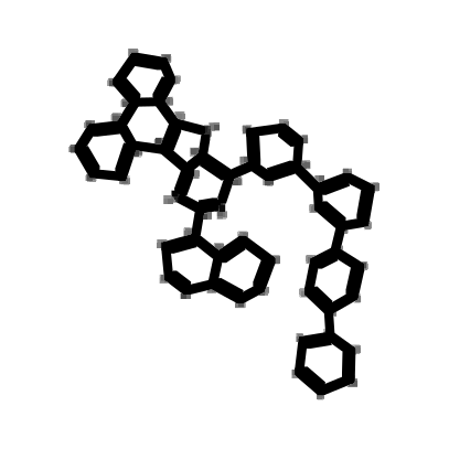 c1ccc(-c2ccc(-c3cccc(-c4cccc(-c5nc(-c6cccc7ccccc67)nc6c5sc5c7ccccc7c7ccccc7c65)c4)c3)cc2)cc1